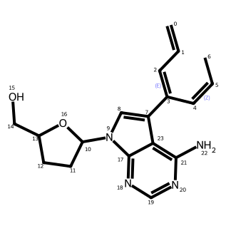 C=C/C=C(\C=C/C)c1cn(C2CCC(CO)O2)c2ncnc(N)c12